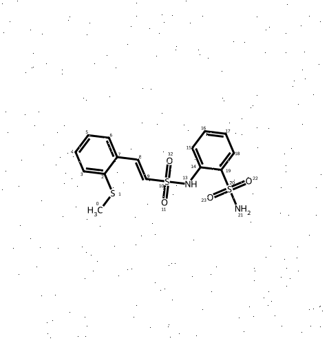 CSc1ccccc1C=CS(=O)(=O)Nc1ccccc1S(N)(=O)=O